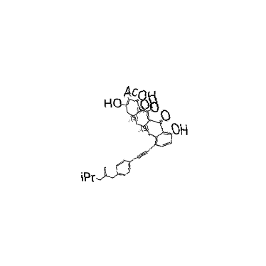 C=C(Cc1ccc(C#Cc2ccc(O)c3c2C[C@@]2(C)C[C@@]4(C)CC(O)=C(C(C)=O)C(=O)[C@@]4(O)C(O)=C2C3=O)cc1)CC(C)C